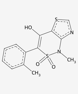 Cc1ccccc1C1=C(O)c2scnc2N(C)S1(=O)=O